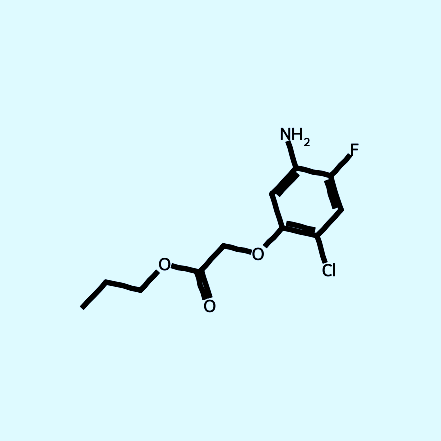 CCCOC(=O)COc1cc(N)c(F)cc1Cl